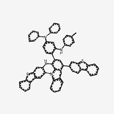 Cc1ccc(Nc2cc(N(c3ccccc3)c3ccccc3)ccc2-c2cc(-c3ccc4c(c3)sc3ccccc34)c3c4ccccc4n4c3c2Bc2cc3sc5ccccc5c3cc2-4)cc1